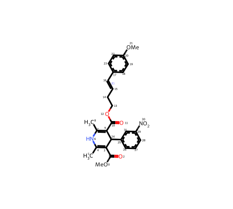 COC(=O)C1=C(C)NC(C)=C(C(=O)OCC/C=C/c2ccc(OC)cc2)C1c1cccc([N+](=O)[O-])c1